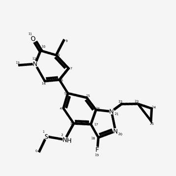 CSNc1cc(-c2cc(C)c(=O)n(C)c2)cc2c1c(F)nn2CC1CC1